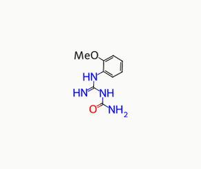 COc1ccccc1NC(=N)NC(N)=O